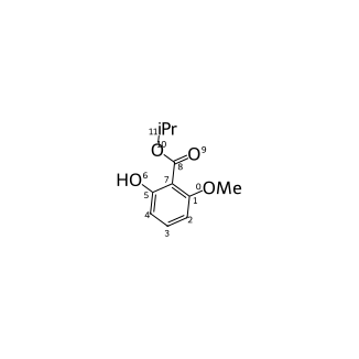 COc1cccc(O)c1C(=O)OC(C)C